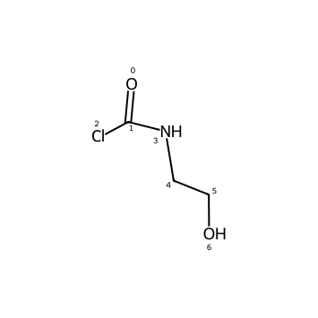 O=C(Cl)NCCO